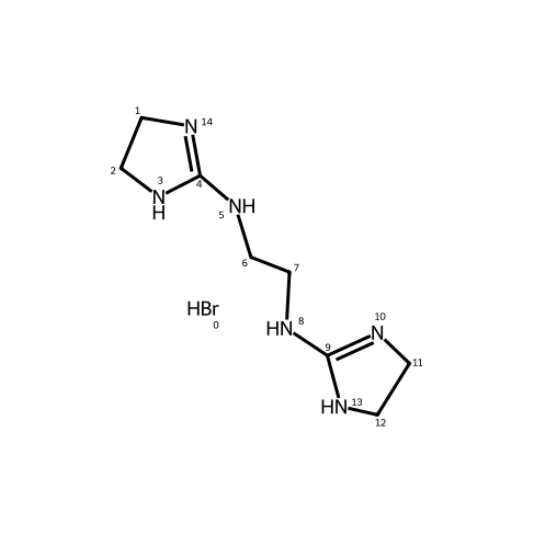 Br.C1CNC(NCCNC2=NCCN2)=N1